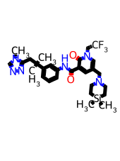 Cn1cnnc1CC(C)(C)c1cccc(NC(=O)c2cc(CN3CC[Si](C)(C)CC3)cn(CC(F)(F)F)c2=O)c1